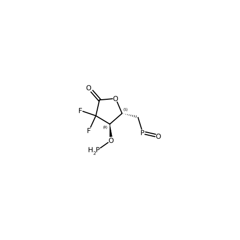 O=PC[C@H]1OC(=O)C(F)(F)[C@@H]1OP